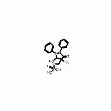 CCCCC1(COP(=O)(O)O)C(=O)N(c2ccccc2)N(c2ccccc2)C1O